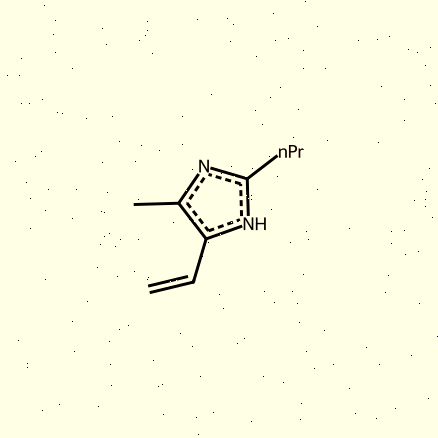 C=Cc1[nH]c(CCC)nc1C